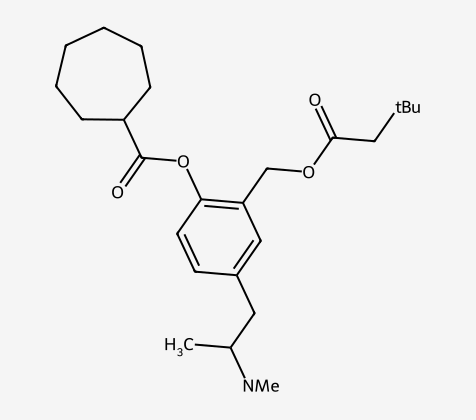 CNC(C)Cc1ccc(OC(=O)C2CCCCCC2)c(COC(=O)CC(C)(C)C)c1